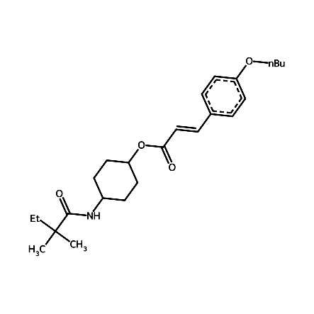 CCCCOc1ccc(/C=C/C(=O)OC2CCC(NC(=O)C(C)(C)CC)CC2)cc1